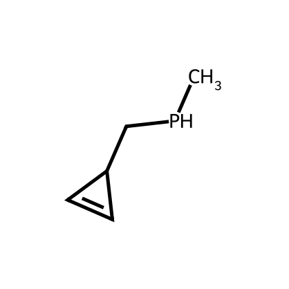 CPCC1C=C1